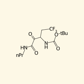 CCCNC(=O)C(=O)C(CC(F)(F)F)NC(=O)OC(C)(C)C